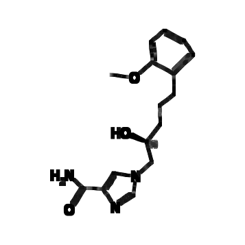 COc1ccccc1CCC[C@H](O)Cn1cnc(C(N)=O)c1